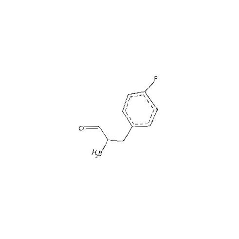 BC(C=O)Cc1ccc(F)cc1